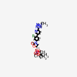 COP(=O)(OC[C@H]1CN(c2ccc(-c3ccc(-c4nnn(C)n4)nc3)c(F)c2)C(=O)O1)OC(C)(C)C